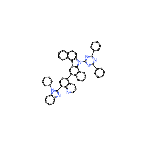 c1ccc(-c2nc(-c3ccccc3)nc(-n3c4ccc5ccccc5c4c4cc(-c5ccc(-c6nc7ccccc7n6-c6ccccc6)c6ncccc56)c5ccccc5c43)n2)cc1